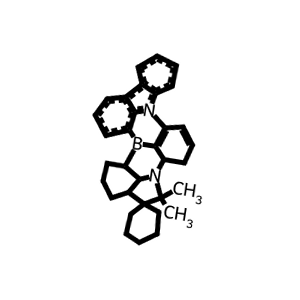 CC1(C)N2C3CC=CC4=C3B(c3cccc5c6ccccc6n4c35)C3CCCC(C32)C12CCCCC2